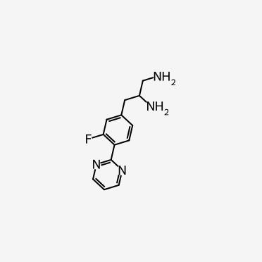 NCC(N)Cc1ccc(-c2ncccn2)c(F)c1